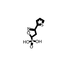 O=P(O)(O)C1CC(c2cccs2)=NO1